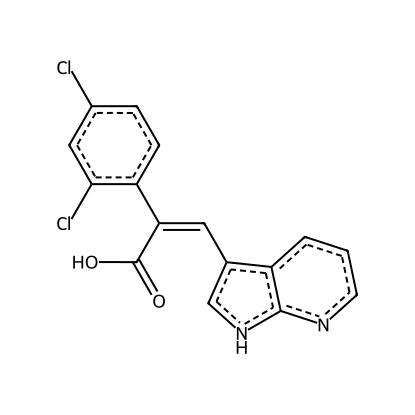 O=C(O)/C(=C\c1c[nH]c2ncccc12)c1ccc(Cl)cc1Cl